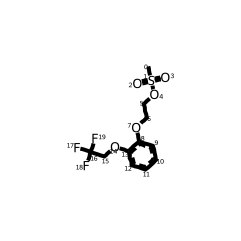 CS(=O)(=O)OCCOc1ccccc1OCC(F)(F)F